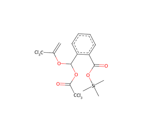 C=C(OC(OC(=O)C(Cl)(Cl)Cl)c1ccccc1C(=O)O[Si](C)(C)C)C(Cl)(Cl)Cl